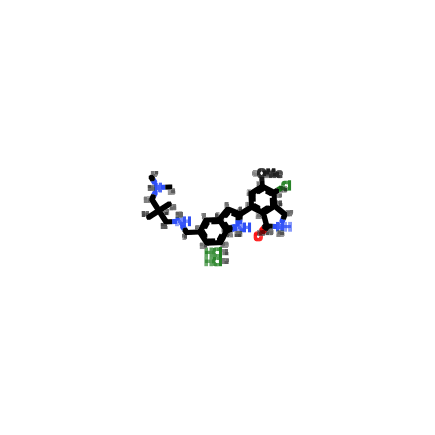 COc1cc(-c2cc3cc(CNCC(C)(C)CN(C)C)ccc3[nH]2)c2c(c1Cl)CNC2=O.Cl.Cl